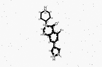 O=c1c2c(F)cc(-c3cn[nH]c3)cc2ncn1C1CCNCC1